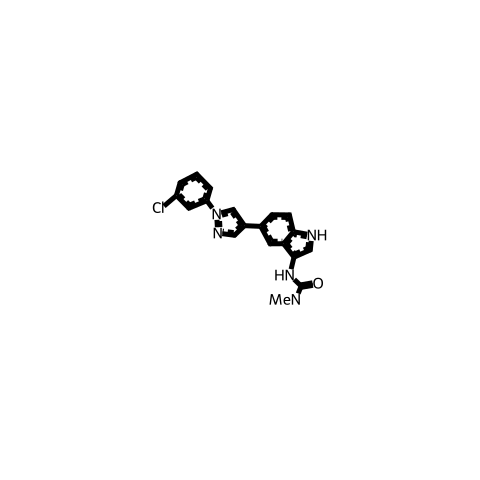 CNC(=O)Nc1c[nH]c2ccc(-c3cnn(-c4cccc(Cl)c4)c3)cc12